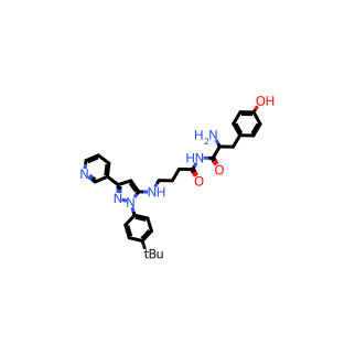 CC(C)(C)c1ccc(-n2nc(-c3cccnc3)cc2NCCCC(=O)NC(=O)C(N)Cc2ccc(O)cc2)cc1